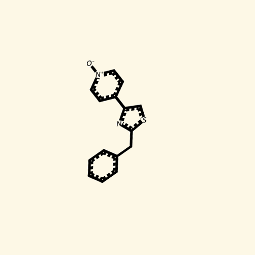 [O-][n+]1ccc(-c2csc(Cc3ccccc3)n2)cc1